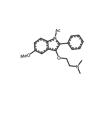 COc1ccc2c(c1)c(OCCN(C)C)c(-c1ccccc1)n2C(C)=O